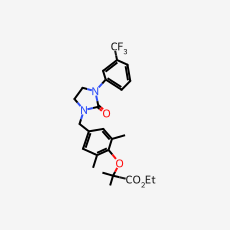 CCOC(=O)C(C)(C)Oc1c(C)cc(CN2CCN(c3cccc(C(F)(F)F)c3)C2=O)cc1C